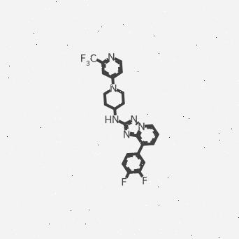 Fc1ccc(-c2cccn3nc(NC4CCN(c5ccnc(C(F)(F)F)c5)CC4)nc23)cc1F